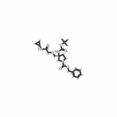 CC(C)(C)OC(=O)N[C@]1(COCC(=O)NC2CC2)CCN(C(=O)OCc2ccccc2)C1